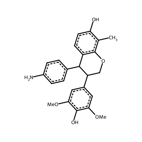 COc1cc(C2COc3c(ccc(O)c3C)C2c2ccc(N)cc2)cc(OC)c1O